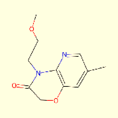 COCCN1C(=O)COc2cc(C)cnc21